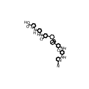 N#Cc1cccc(Nc2ccc(Nc3ccc(C45CC6CC(C4)C(C4CCCC(c7ccc(Nc8cccc(Nc9cccc(C(=O)O)n9)c8)c(Cl)c7)C4)C5C6)cc3Cl)cc2)n1